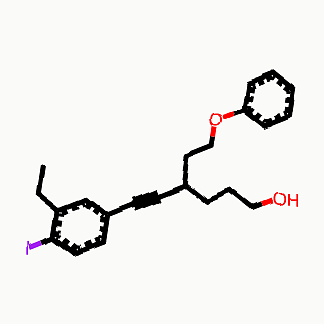 CCc1cc(C#CC(CCCO)CCOc2ccccc2)ccc1I